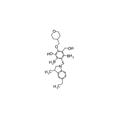 Bc1c(O)c(OCC2CCOCC2)c(CO)c(B)c1SN1CC(C)c2cc(CC)ccc21